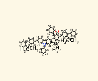 CC1(C)c2ccccc2-c2ccc(-c3ccc4c5cc6c(cc5n(-c5ccccc5)c4c3)C(C)(C)c3cc(-c4ccc5c(c4)C(C)(C)c4ccccc4-5)c4oc5ccccc5c4c3-6)cc21